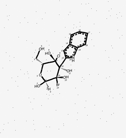 [2H][C@]1(O)O[C@H](CO)[C@](O)(Cl)[C@@](O)(c2cc3ccccc3[nH]2)[C@]1(O)Br